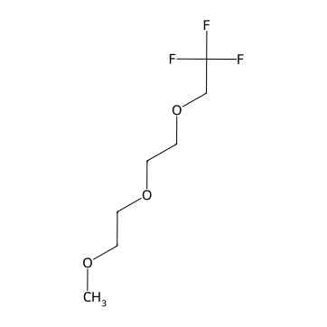 COCCOCCOCC(F)(F)F